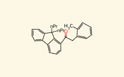 CCCC1(CCC)c2ccccc2-c2cccc(C(=O)Cc3ccccc3C)c21